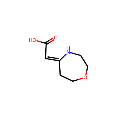 O=C(O)C=C1CCOCCN1